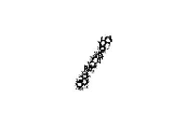 c1ccc2c(c1)ccc1cc(C3=Nc4cc5cc6c(cc5cc4C3)N=C(c3ccc4c(ccc5ccccc54)c3)C6)ccc12